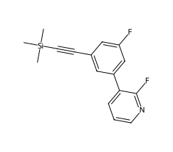 C[Si](C)(C)C#Cc1cc(F)cc(-c2cccnc2F)c1